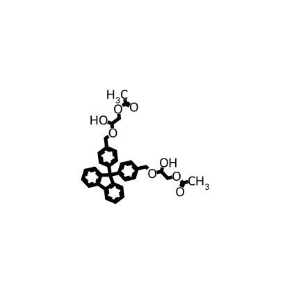 CC(=O)OCC(O)OCc1ccc(C2(c3ccc(COC(O)COC(C)=O)cc3)c3ccccc3-c3ccccc32)cc1